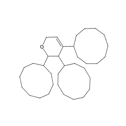 C1=C(C2CCCCCCCCC2)C(C2CCCCCCCCC2)C(C2CCCCCCCCC2)OC1